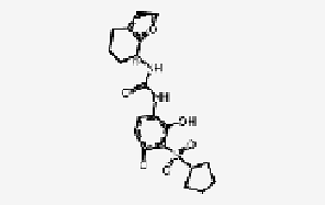 O=C(Nc1ccc(Cl)c(S(=O)(=O)C2CCCC2)c1O)N[C@H]1CCCc2ccoc21